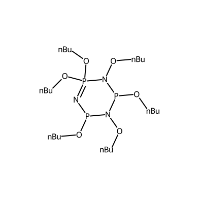 CCCCON1P(OCCCC)N=P(OCCCC)(OCCCC)N(OCCCC)P1OCCCC